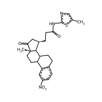 Cc1cnc(NC(=O)CC[C@@H]2CC(=O)[C@@]3(C)CCC4c5cc([N+](=O)[O-])ccc5CCC4C23)s1